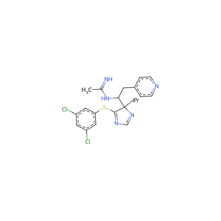 CC(=N)NC(Cc1ccncc1)C1(C(C)C)N=CN=C1Sc1cc(Cl)cc(Cl)c1